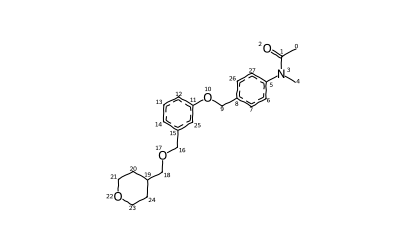 CC(=O)N(C)c1ccc(COc2cccc(COCC3CCOCC3)c2)cc1